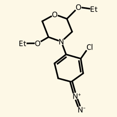 CCOC1CN(C2=CCC(=[N+]=[N-])C=C2Cl)C(OCC)CO1